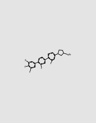 CCCC1CCC(c2ccc(-c3ccc(-c4cc(F)c(F)c(F)c4)c(F)c3)c(F)c2)C1